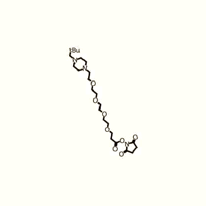 CC(C)(C)CN1CCN(CCOCCOCCOCCOCCC(=O)ON2C(=O)CCC2=O)CC1